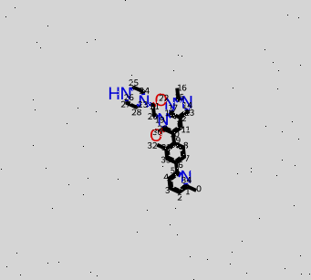 Cc1cccc(-c2ccc(-c3cc4cnc(C)nc4n(CC(=O)N4CCNCC4)c3=O)c(C)c2)n1